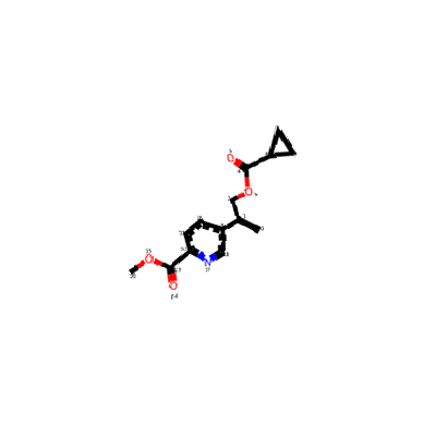 C=C(COC(=O)C1CC1)c1ccc(C(=O)OC)nc1